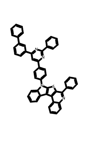 c1ccc(-c2cccc(-c3cc(-c4ccc(-n5c6ccccc6c6c7c(sc65)c(-c5ccccc5)nc5ccccc57)cc4)nc(-c4ccccc4)n3)c2)cc1